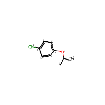 CC(C#N)Oc1ccc(Cl)cc1